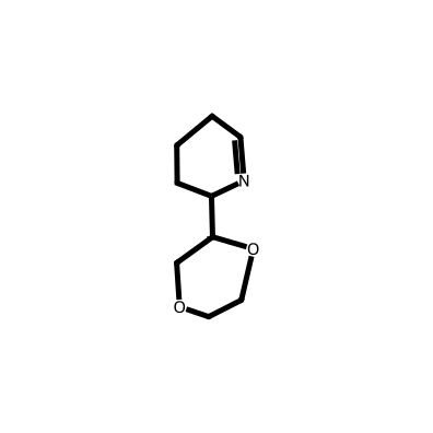 C1=NC([C]2COCCO2)CCC1